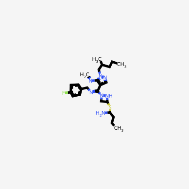 C=Nc1c(/C(=N\Cc2ccc(F)cc2)N2CC(SC(N)CCC)N2)cnn1CC(C)CCC